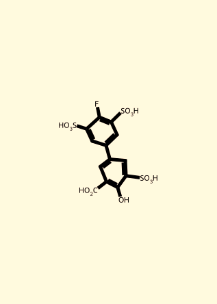 O=C(O)c1cc(-c2cc(S(=O)(=O)O)c(F)c(S(=O)(=O)O)c2)cc(S(=O)(=O)O)c1O